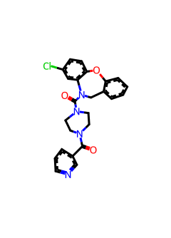 O=C(c1cccnc1)N1CCN(C(=O)N2Cc3ccccc3Oc3ccc(Cl)cc32)CC1